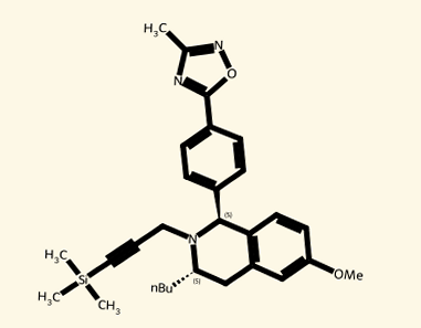 CCCC[C@H]1Cc2cc(OC)ccc2[C@H](c2ccc(-c3nc(C)no3)cc2)N1CC#C[Si](C)(C)C